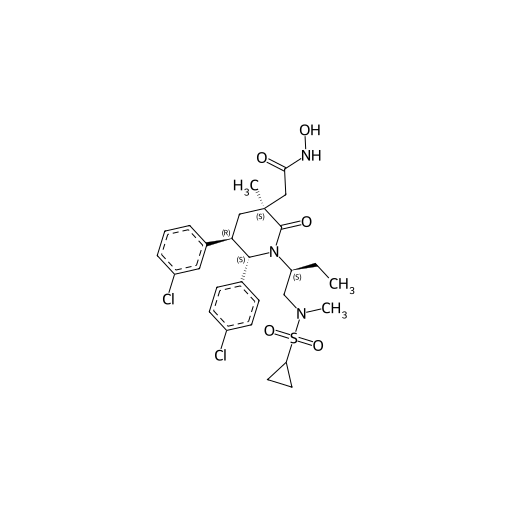 CC[C@@H](CN(C)S(=O)(=O)C1CC1)N1C(=O)[C@](C)(CC(=O)NO)C[C@H](c2cccc(Cl)c2)[C@H]1c1ccc(Cl)cc1